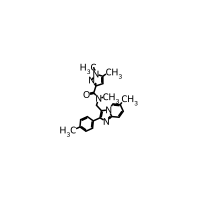 Cc1ccc(-c2nc3ccc(C)cn3c2CN(C)C(=O)c2cc(C)n(C)n2)cc1